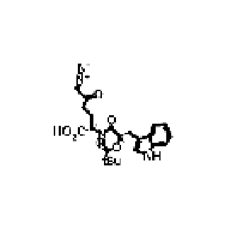 CC(C)(C)C(=O)O[C@@H](Cc1c[nH]c2ccccc12)C(=O)N[C@@H](CCC(=O)C=[N+]=[N-])C(=O)O